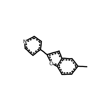 Cc1ccc2oc(-c3ccncc3)cc2c1